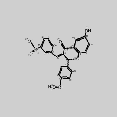 COc1ccc(C2Oc3ccc(O)cc3C(=O)C2=Cc2cccc([N+](=O)[O-])c2)cc1